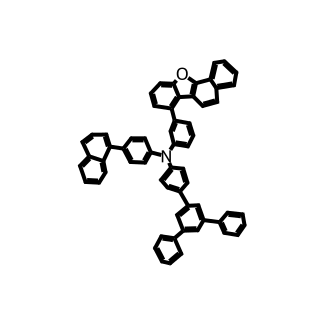 c1ccc(-c2cc(-c3ccccc3)cc(-c3ccc(N(c4ccc(-c5cccc6ccccc56)cc4)c4cccc(-c5cccc6oc7c8ccccc8ccc7c56)c4)cc3)c2)cc1